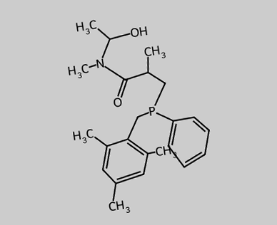 Cc1cc(C)c(CP(CC(C)C(=O)N(C)C(C)O)c2ccccc2)c(C)c1